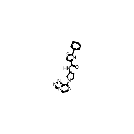 O=C(N[C@H]1CCN(c2nccn3cnnc23)C1)c1csc(-c2ccccc2)n1